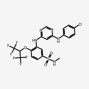 CNS(=O)(=O)c1ccc(OC(C(F)(F)F)C(F)(F)F)c(Nc2cc(Nc3ccc(Cl)cc3)ncn2)c1